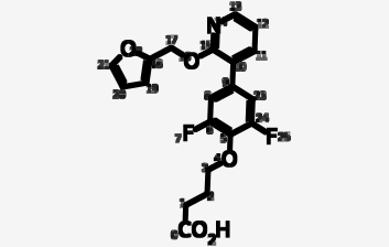 O=C(O)CCCOc1c(F)cc(-c2cccnc2OCc2ccco2)cc1F